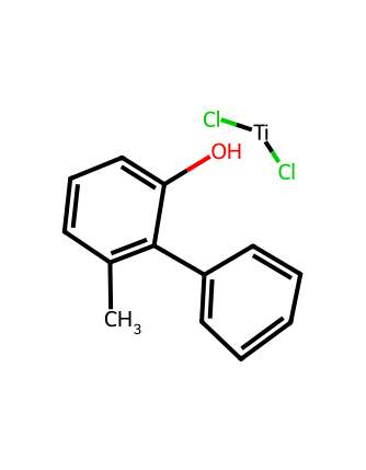 Cc1cccc(O)c1-c1ccccc1.[Cl][Ti][Cl]